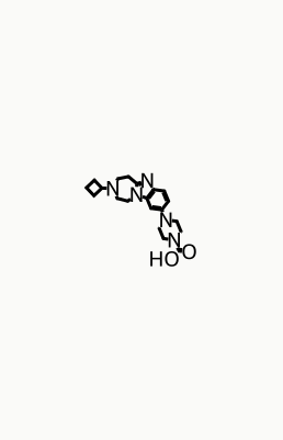 O=C(O)N1CCN(c2ccc3nc4n(c3c2)CCN(C2CCC2)CC4)CC1